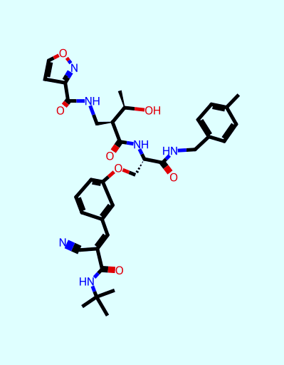 Cc1ccc(CNC(=O)[C@H](COc2cccc(/C=C(\C#N)C(=O)NC(C)(C)C)c2)NC(=O)[C@@H](CNC(=O)c2ccon2)[C@@H](C)O)cc1